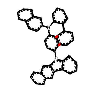 c1ccc(-c2ccccc2N(c2ccc(-n3c4ccccc4c4cc5ccccc5cc43)cc2)c2ccc3ccccc3c2)cc1